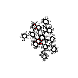 CC(C)(C)c1cc2c3c(c1)N(c1c(-c4ccccc4)cc(-c4ccccc4)cc1-c1ccccc1)c1cc4c(cc1B3c1ccccc1N2c1ccccc1)B1c2ccccc2N(c2ccccc2)c2cc(N3C5CC6CC(C5)CC3C6)cc(c21)N4c1ccccc1